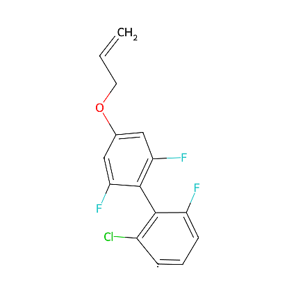 C=CCOc1cc(F)c(-c2c(Cl)[c]ccc2F)c(F)c1